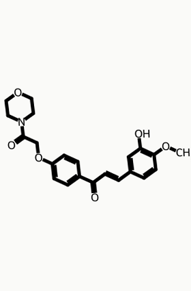 COc1ccc(C=CC(=O)c2ccc(OCC(=O)N3CCOCC3)cc2)cc1O